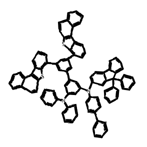 c1ccc(-c2ccc(N(c3cc(-c4cc(-c5cccc6c5sc5ccc7ccccc7c56)cc(-c5cccc6c5sc5ccc7ccccc7c56)c4)cc(N(c4ccccc4)c4ccccc4)c3)c3ccc4c(c3)C(c3ccccc3)(c3ccccc3)c3ccccc3-4)cc2)cc1